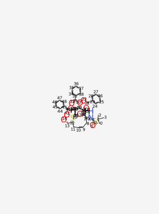 CC(C)(C)[S@@+]([O-])N[C@@H]1CC=CCC(C=O)S[C@H]2O[C@H]1[C@H](OC(=O)c1ccccc1)[C@H](OC(=O)c1ccccc1)[C@H]2OC(=O)c1ccccc1